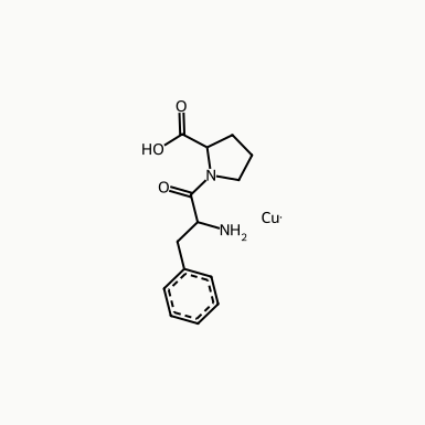 NC(Cc1ccccc1)C(=O)N1CCCC1C(=O)O.[Cu]